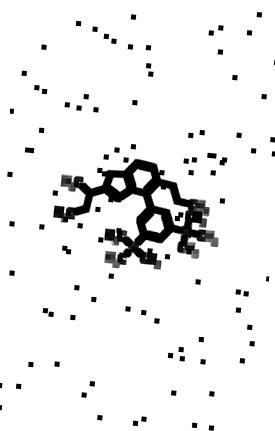 CCCc1ccc2c(c1-c1cc([Si](C)(C)C)cc([Si](C)(C)C)c1)C=C(C(C)CC)[CH]2